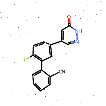 N#Cc1ccccc1-c1cc(-c2cn[nH]c(=O)c2)ccc1F